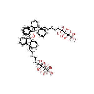 BrC(Br)(Br)C(Br)(Br)C(Br)(Br)C(Br)(Br)CCCCCCc1ccccc1C(OC(c1ccccc1)(c1ccccc1)c1ccccc1CCCCCCC(Br)(Br)C(Br)(Br)C(Br)(Br)C(Br)(Br)Br)(c1ccccc1)c1ccccc1